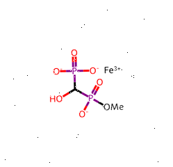 COP(=O)([O-])C(O)P(=O)([O-])[O-].[Fe+3]